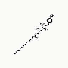 CCCCCCCCCCCCCC(=O)OCC(O)COC(=O)[C@H](N)Cc1ccc(O)cc1